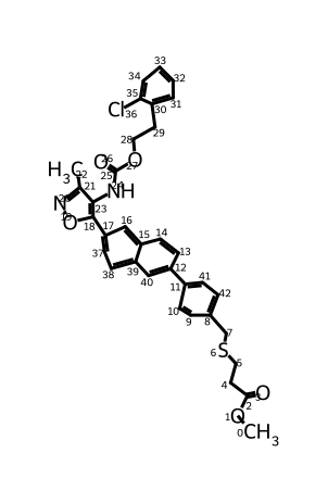 COC(=O)CCSCc1ccc(-c2ccc3cc(-c4onc(C)c4NC(=O)OCCc4ccccc4Cl)ccc3c2)cc1